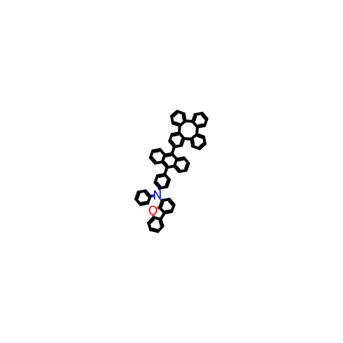 c1ccc(N(c2ccc(-c3c4ccccc4c(-c4ccc5c(c4)-c4ccccc4-c4ccccc4-c4ccccc4-5)c4ccccc34)cc2)c2cccc3c2oc2ccccc23)cc1